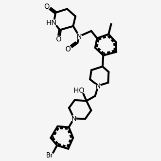 Cc1ccc(C2CCN(CC3(O)CCN(c4ccc(Br)cc4)CC3)CC2)cc1CN(C=O)C1CCC(=O)NC1=O